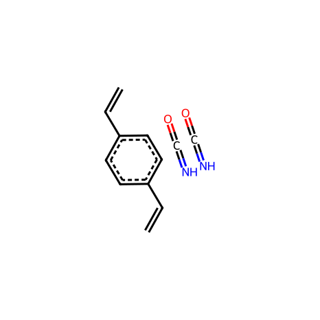 C=Cc1ccc(C=C)cc1.N=C=O.N=C=O